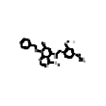 COc1ccc(CNc2cc(=O)n(OCc3ccccc3)c3ncnc(C)c23)c(OC)c1